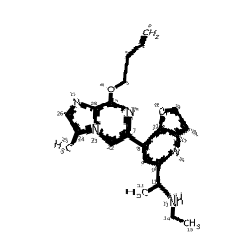 C=CCCOc1nc(-c2cc(C(C)NCC)nc3ccoc23)cn2c(C)cnc12